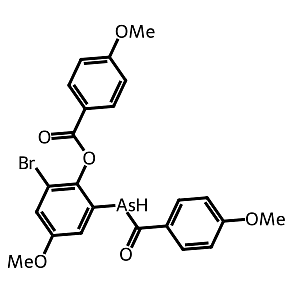 COc1ccc(C(=O)Oc2c(Br)cc(OC)cc2[AsH]C(=O)c2ccc(OC)cc2)cc1